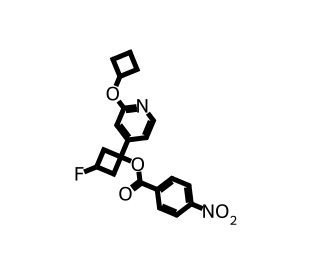 O=C(OC1(c2ccnc(OC3CCC3)c2)CC(F)C1)c1ccc([N+](=O)[O-])cc1